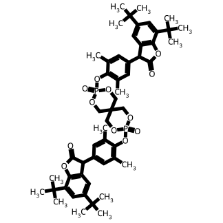 Cc1cc(C2C(=O)Oc3c2cc(C(C)(C)C)cc3C(C)(C)C)cc(C)c1OP1(=O)OCC2(CO1)COP(=O)(Oc1c(C)cc(C3C(=O)Oc4c3cc(C(C)(C)C)cc4C(C)(C)C)cc1C)OC2